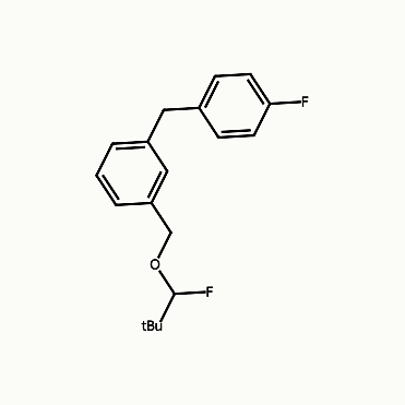 CC(C)(C)C(F)OCc1cccc(Cc2ccc(F)cc2)c1